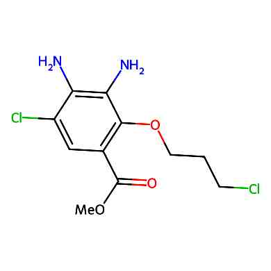 COC(=O)c1cc(Cl)c(N)c(N)c1OCCCCl